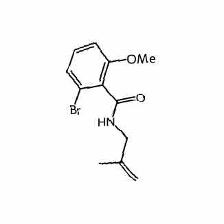 C=C(C)CNC(=O)c1c(Br)cccc1OC